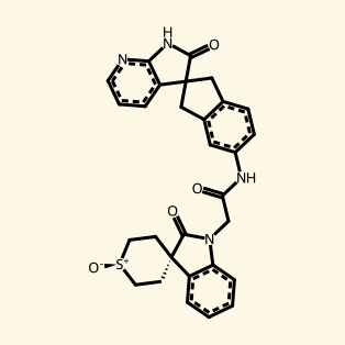 O=C(CN1c2ccccc2[C@]2(CC[S@@+]([O-])CC2)C1=O)Nc1ccc2c(c1)CC1(C2)C(=O)Nc2ncccc21